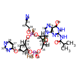 CC(C)C(=O)Nc1nc2c(ncn2[C@@H]2O[C@@H]3COP(=O)(S)O[C@H]4C[C@H](Oc5ccncn5)C[C@@H]4COP(=S)(OCCC#N)O[C@@H]2[C@@H]3F)c(=O)[nH]1